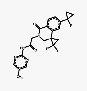 Cc1cnc(NC(=O)CN2C[C@]3(CC3(F)F)c3cc(C4(F)CC4)ccc3C2=O)nc1